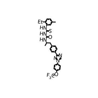 CCc1ccc(C)cc1NC(=S)NC(=O)NC(C)Cc1ccc(-c2ncn(-c3ccc(OC(F)(F)F)cc3)n2)cc1